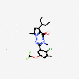 CCC(CC)c1cc(C)n2nc(-c3cc(OC(F)F)cc(C)c3Cl)n(C)c(=O)c12